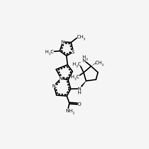 Cc1nc(C)c(-c2cc3c(N[C@@H]4CC[C@](C)(N)C4(C)C)c(C(N)=O)cnn3c2)s1